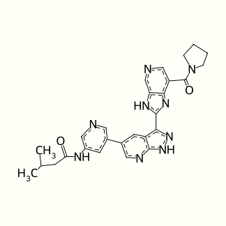 CC(C)CC(=O)Nc1cncc(-c2cnc3[nH]nc(-c4nc5c(C(=O)N6CCCC6)cncc5[nH]4)c3c2)c1